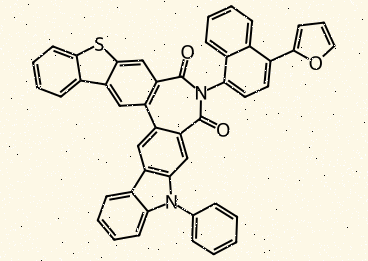 O=c1c2cc3sc4ccccc4c3cc2c2cc3c4ccccc4n(-c4ccccc4)c3cc2c(=O)n1-c1ccc(-c2ccco2)c2ccccc12